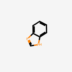 c1ccc2[pH]cpc2c1